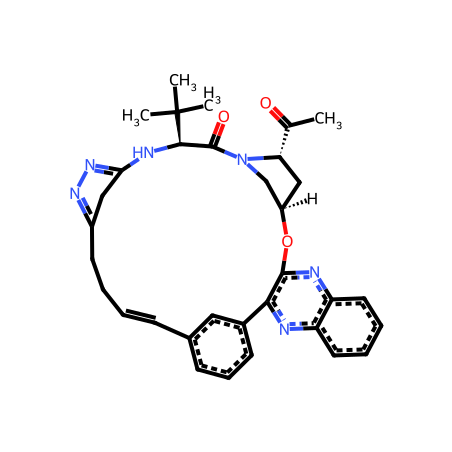 CC(=O)[C@@H]1C[C@@H]2CN1C(=O)[C@H](C(C)(C)C)NC1=NN=C(CC/C=C/c3cccc(c3)-c3nc4ccccc4nc3O2)C1